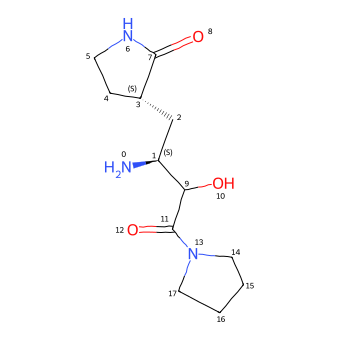 N[C@@H](C[C@@H]1CCNC1=O)C(O)C(=O)N1CCCC1